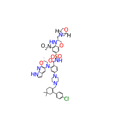 C[C@@H]1CN(c2cc(N3CCN(CC4=C(c5ccc(Cl)cc5)CC(C)(C)CC4)CC3)ccc2C(=O)NS(=O)(=O)c2cc3c(c([N+](=O)[O-])c2)N[C@@H](CN2C[C@@H]4C[C@H]2CO4)CO3)c2cc3cc[nH]c3nc2O1